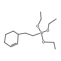 CCO[Si](CCC1C=CCCC1)(OCC)OCC